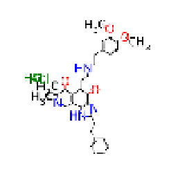 COc1ccc(CCNCCC2C(=O)c3nc(CCc4ccccc4)[nH]c3C3=C2C(=O)C(C)(C)N=C3)cc1OC.Cl.Cl